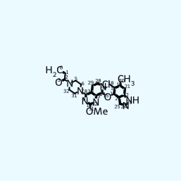 C=CC(=O)N1CCN(c2nc(OC)nc3c(Oc4c(Cl)c(C)cc5[nH]ncc45)nccc23)CC1